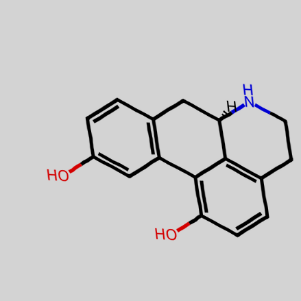 Oc1ccc2c(c1)-c1c(O)ccc3c1[C@@H](C2)NCC3